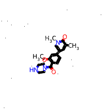 COc1cc(-c2cc(C)c(=O)n(C)c2)ccc1C(=O)N1CCNCC1